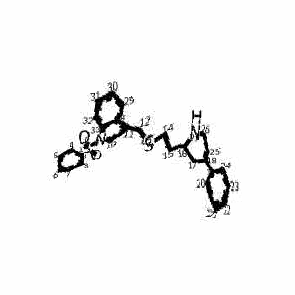 O=S(=O)(c1ccccc1)n1cc(CSCCC2CC(c3ccccc3)=CCN2)c2ccccc21